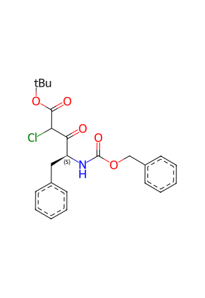 CC(C)(C)OC(=O)C(Cl)C(=O)[C@H](Cc1ccccc1)NC(=O)OCc1ccccc1